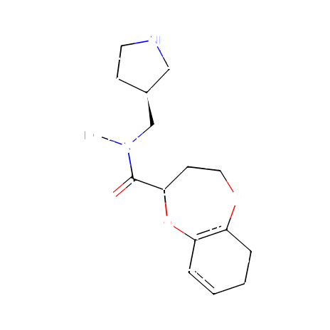 CN(C[C@H]1CCNC1)C(=O)C1CCOC2=C(C=CCC2)O1